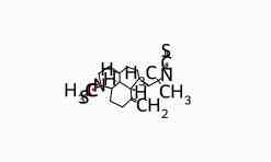 C=C1CC[C@@]2(N=C=S)[C@H]3[C@@H](CC[C@@H](CC(C)(C)N=C=S)[C@H]13)CC[C@@H]2C